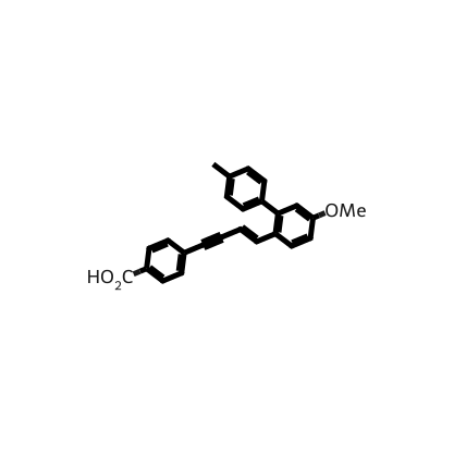 COc1ccc(/C=C/C#Cc2ccc(C(=O)O)cc2)c(-c2ccc(C)cc2)c1